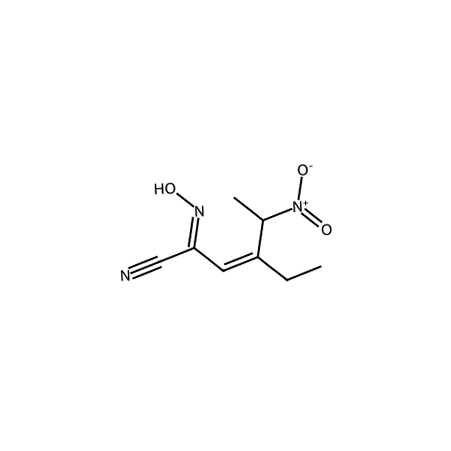 CCC(=CC(C#N)=NO)C(C)[N+](=O)[O-]